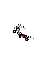 COc1ccccc1C1=NCN(C[C@]2(OC)CCN(C(=O)N3CC[C@@H](NC(C)C)C[C@H]3c3cc(F)ccc3F)CC23CCCC3)C=C1